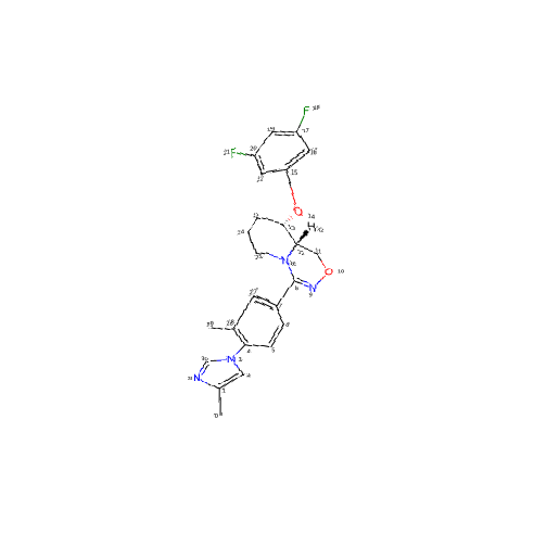 Cc1cn(-c2ccc(C3=NOC[C@H]4[C@@H](Oc5cc(F)cc(F)c5)CCCN34)cc2C)cn1